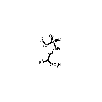 CCC(CC)S(=O)(=O)O.CCCS(=O)(=O)OCC